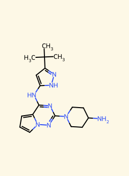 CC(C)(C)c1cc(Nc2nc(N3CCC(N)CC3)nn3cccc23)[nH]n1